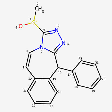 C[S+]([O-])c1nnc2n1C=Cc1ccccc1C2c1ccccc1